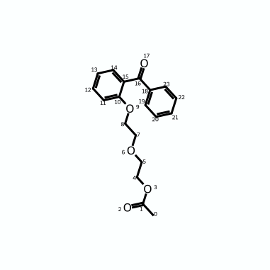 CC(=O)OCCOCCOc1ccccc1C(=O)c1ccccc1